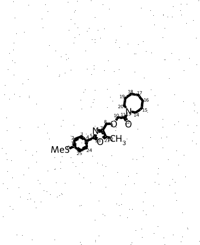 CSc1ccc(-c2nc(COCC(=O)N3CCCCCCC3)c(C)o2)cc1